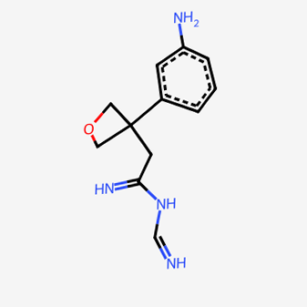 N=CNC(=N)CC1(c2cccc(N)c2)COC1